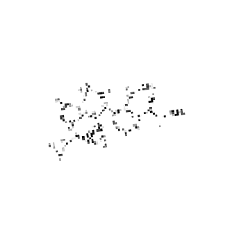 COC(=O)c1ccc2c(c1OC)C(OC)=C(c1oncc1C(=O)C1CC1)S2(=O)=O